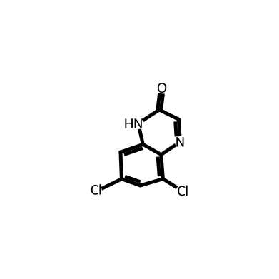 O=c1cnc2c(Cl)cc(Cl)cc2[nH]1